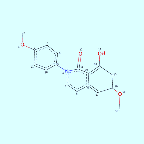 COc1ccc(-n2ccc3c(c2=O)=C(O)CC(OC)C=3)cc1